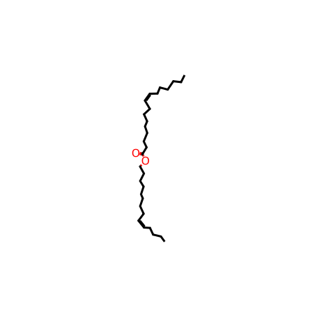 CCCC/C=C\CCCCCCCCOC(=O)CCCCCCC/C=C\CCCCCC